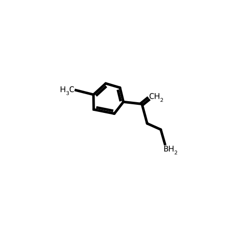 BCCC(=C)c1ccc(C)cc1